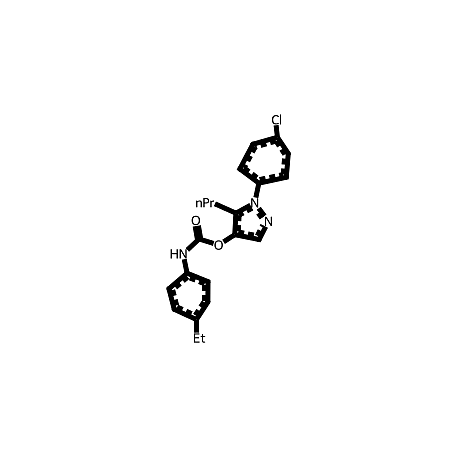 CCCc1c(OC(=O)Nc2ccc(CC)cc2)cnn1-c1ccc(Cl)cc1